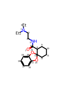 CCN(CC)CCNC(=O)C1CCCCC12Oc1ccccc1O2